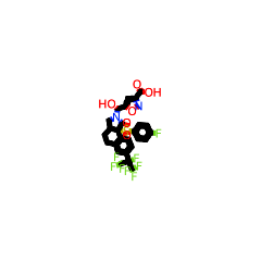 O=C(O)c1cc(C(O)N2CC3CCc4cc(C(F)(C(F)(F)F)C(F)(F)F)ccc4C3(S(=O)(=O)c3ccc(F)cc3)C2)on1